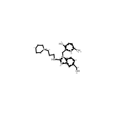 Cc1ccc(O)c(Cn2c(NCCCN3CCCCC3)nc3cc(CO)ccc32)n1